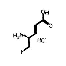 Cl.N[C@@H](C=CC(=O)O)CF